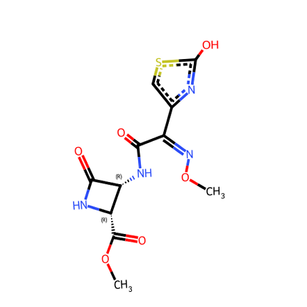 CON=C(C(=O)N[C@H]1C(=O)N[C@H]1C(=O)OC)c1csc(O)n1